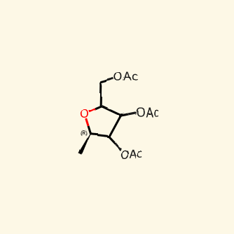 CC(=O)OCC1O[C@H](C)C(OC(C)=O)C1OC(C)=O